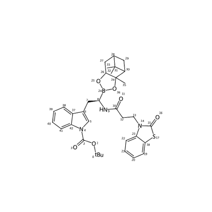 CC(C)(C)OC(=O)n1cc(C[C@H](NC(=O)CCn2c(=O)sc3ccccc32)B2OC3CC4CC(C4(C)C)C3(C)O2)c2ccccc21